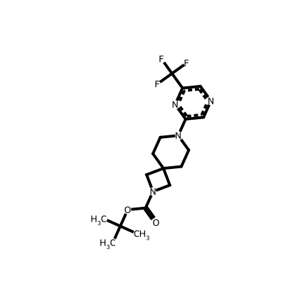 CC(C)(C)OC(=O)N1CC2(CCN(c3cncc(C(F)(F)F)n3)CC2)C1